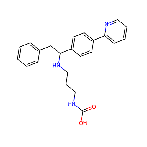 O=C(O)NCCCNC(Cc1ccccc1)c1ccc(-c2ccccn2)cc1